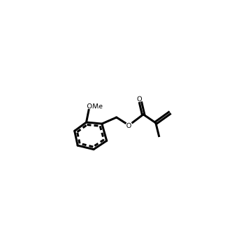 C=C(C)C(=O)OCc1ccccc1OC